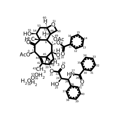 CC(=O)O[C@H]1C(=O)[C@@]2(C)[C@H]([C@H](OC(=O)c3ccccc3)[C@]3(O)C[C@H](OC(=O)[C@H](O)[C@@H](NC(=O)c4ccccc4)c4ccccc4)C(C)=C1C3(C)C)[C@]1(OC(C)=O)CO[C@@H]1C[C@@H]2O.O.O.O